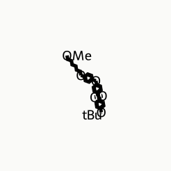 COCCCCCCOc1ccc(Oc2ccc(S(=O)(=O)c3ccc(OC(C)(C)C)cc3)cc2)cc1